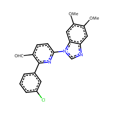 COc1cc2ncn(-c3ccc(C=O)c(-c4cccc(Cl)c4)n3)c2cc1OC